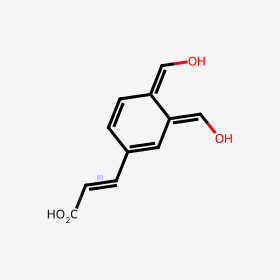 O=C(O)/C=C/c1ccc(=CO)c(=CO)c1